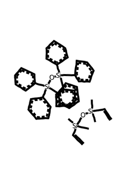 C=C[Si](C)(C)O[Si](C)(C)C=C.c1ccc([Si](O[Si](c2ccccc2)(c2ccccc2)c2ccccc2)(c2ccccc2)c2ccccc2)cc1